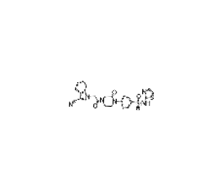 N#Cc1cn(CC(=O)N2CCN(c3ccc(S(=O)(=O)Nc4nccs4)cc3)C(=O)C2)c2ccccc12